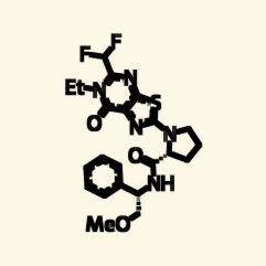 CCn1c(C(F)F)nc2sc(N3CCC[C@@H]3C(=O)N[C@H](COC)c3ccccc3)nc2c1=O